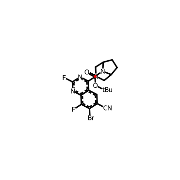 CC(C)(C)OC(=O)N1C2CCC1CN(c1nc(F)nc3c(F)c(Br)c(C#N)cc13)C2